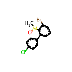 C[S+]([O-])c1c(Br)cccc1-c1ccc(Cl)cc1